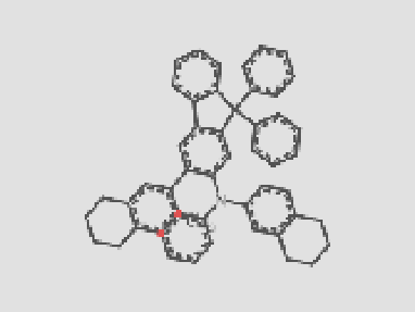 Cc1cc2c(cc1-c1cc3c(cc1N(c1ccccc1)c1ccc4c(c1)CCCC4)C(c1ccccc1)(c1ccccc1)c1ccccc1-3)CCCC2